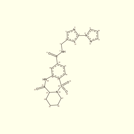 O=C(NCc1cnc(-n2cccn2)s1)c1ccc2c(c1)NC(=O)C1CCCCN1S2(=O)=O